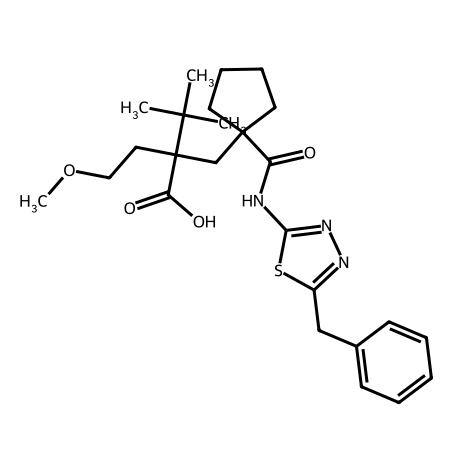 COCCC(CC1(C(=O)Nc2nnc(Cc3ccccc3)s2)CCCC1)(C(=O)O)C(C)(C)C